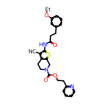 CCOc1cccc(CCC(=O)Nc2sc3c(c2C#N)CCN(C(=O)OCCc2ccccn2)C3)c1